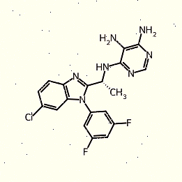 C[C@@H](Nc1ncnc(N)c1N)c1nc2ccc(Cl)cc2n1-c1cc(F)cc(F)c1